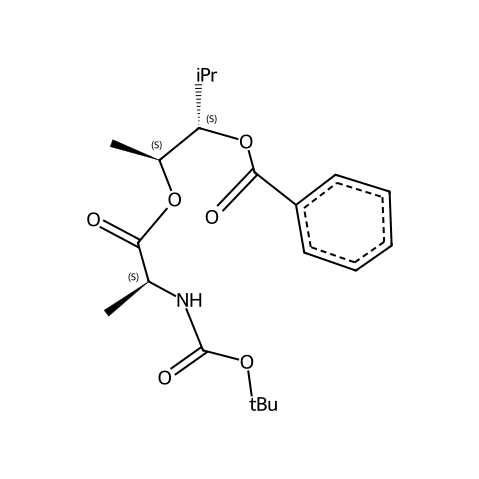 CC(C)[C@H](OC(=O)c1ccccc1)[C@H](C)OC(=O)[C@H](C)NC(=O)OC(C)(C)C